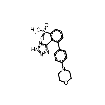 CS(=O)(=O)c1cccc(-c2ccc(N3CCOCC3)cc2)c1-c1nn[nH]n1